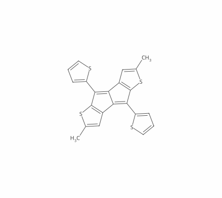 Cc1cc2c(s1)C(c1cccs1)=C1C2=C(c2cccs2)c2sc(C)cc21